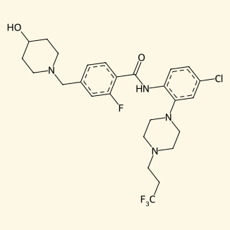 O=C(Nc1ccc(Cl)cc1N1CCN(CCC(F)(F)F)CC1)c1ccc(CN2CCC(O)CC2)cc1F